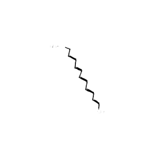 CCCCCCCCC=CC=CC=CC=CC=CC=O